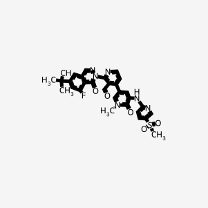 Cn1cc(-c2ccnc(-n3ncc4cc(C(C)(C)C)cc(F)c4c3=O)c2C=O)cc(Nc2ccc(S(C)(=O)=O)cn2)c1=O